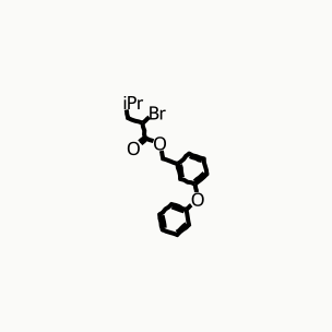 CC(C)CC(Br)C(=O)OCc1cccc(Oc2ccccc2)c1